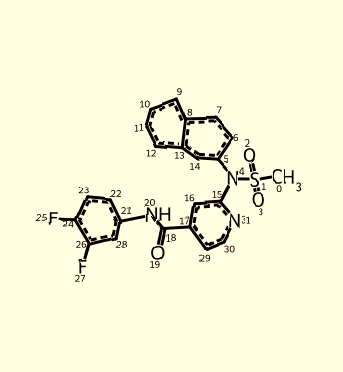 CS(=O)(=O)N(c1ccc2ccccc2c1)c1cc(C(=O)Nc2ccc(F)c(F)c2)ccn1